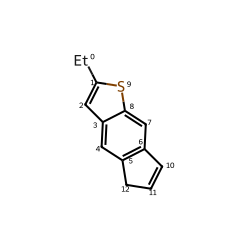 CCc1cc2cc3c(cc2s1)C=CC3